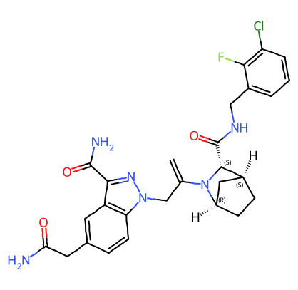 C=C(Cn1nc(C(N)=O)c2cc(CC(N)=O)ccc21)N1[C@@H]2CC[C@@H](C2)[C@H]1C(=O)NCc1cccc(Cl)c1F